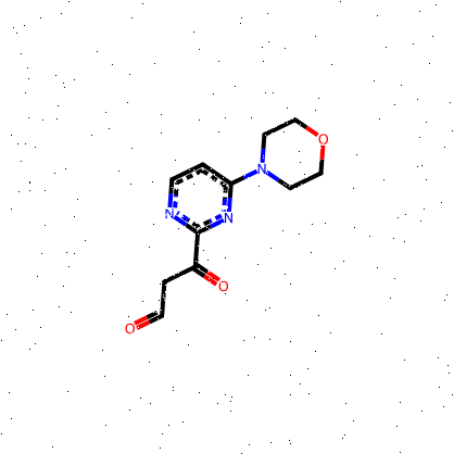 O=CCC(=O)c1nccc(N2CCOCC2)n1